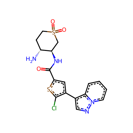 N[C@@H]1CCS(=O)(=O)C[C@H]1NC(=O)c1cc(-c2cnn3ccccc23)c(Cl)s1